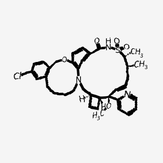 CO[C@]1(c2ccccn2)/C=C/C[C@H](C)[C@@H](C)S(=O)(=O)NC(=O)c2ccc3c(c2)N(CCCCc2cc(Cl)ccc2CO3)C[C@@H]2CC[C@H]21